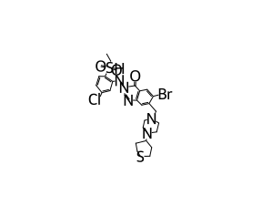 CCS(=O)(=O)c1ccc(Cl)cc1Nn1cnc2cc(CN3CCN(C4CCSCC4)CC3)c(Br)cc2c1=O